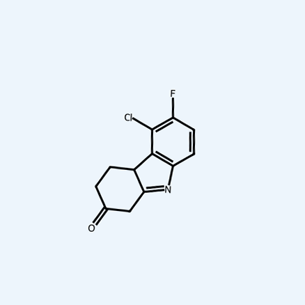 O=C1CCC2C(=Nc3ccc(F)c(Cl)c32)C1